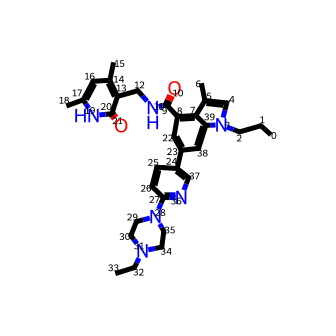 CCCn1cc(C)c2c(C(=O)NCc3c(C)cc(C)[nH]c3=O)cc(-c3ccc(N4CCN(CC)CC4)nc3)cc21